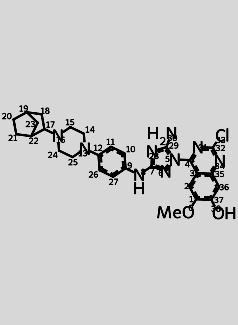 COc1cc2c(-n3nc(Nc4ccc(N5CCN(C6CC7CCC6C7)CC5)cc4)nc3N)nc(Cl)nc2cc1O